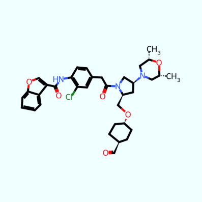 C[C@@H]1CN([C@H]2C[C@@H](CO[C@H]3CC[C@H](C=O)CC3)N(C(=O)Cc3ccc(NC(=O)c4coc5ccccc45)c(Cl)c3)C2)C[C@H](C)O1